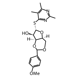 COc1ccc(C2OC[C@@H]3O[C@@H](Sc4nc(C)nc(C)c4C)[C@H](O)[C@@H]3O2)cc1